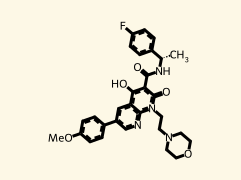 COc1ccc(-c2cnc3c(c2)c(O)c(C(=O)N[C@@H](C)c2ccc(F)cc2)c(=O)n3CCN2CCOCC2)cc1